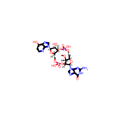 CO[C@H]1[C@H]2OP(=O)(O)OC[C@H]3O[C@@H](n4cnc5c(O)ccnc54)[C@H](O)[C@@H]3OP(=O)(O)OC[C@H]1O[C@H]2n1cnc2c(=O)[nH]c(N)nc21